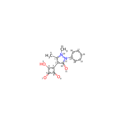 Cc1c(-c2c(O)c(=O)c2=O)c(=O)n(-c2ccccc2)n1C